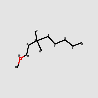 CCCCCC(C)(C)CCOC